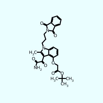 Cc1c(C(=O)C(N)=O)c2c(OCC(=O)OC(C)(C)C)cccc2n1CCCN1C(=O)c2ccccc2C1=O